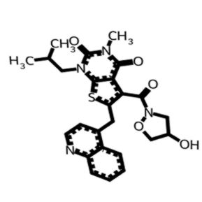 CC(C)Cn1c(=O)n(C)c(=O)c2c(C(=O)N3CC(O)CO3)c(Cc3ccnc4ccccc34)sc21